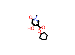 Cn1cc(C(=O)OC2CCCCC2)c(O)cc1=O